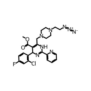 COC(=O)C1=C(CN2CCN(CCN=[N+]=[N-])CC2)NC(c2ccccn2)=NC1c1ccc(F)cc1Cl